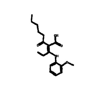 CCCCCC(=O)C(C(=O)O)=C(CC)Nc1ccccc1OC